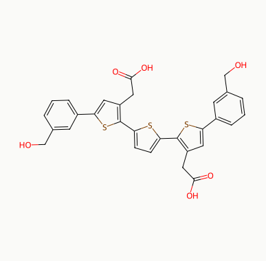 O=C(O)Cc1cc(-c2cccc(CO)c2)sc1-c1ccc(-c2sc(-c3cccc(CO)c3)cc2CC(=O)O)s1